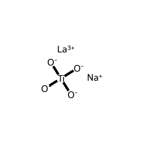 [La+3].[Na+].[O-][Ti]([O-])([O-])[O-]